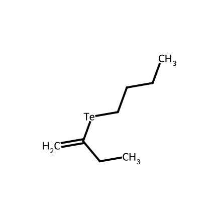 C=C(CC)[Te]CCCC